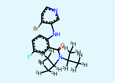 [2H]C([2H])([2H])C([2H])(N(C(=O)c1cc(F)ccc1Nc1cnccc1Br)C([2H])(C([2H])([2H])[2H])C([2H])([2H])[2H])C([2H])([2H])[2H]